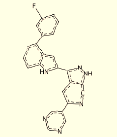 Fc1cccc(-c2cccc3[nH]c(-c4n[nH]c5cnc(-c6cncnc6)cc45)cc23)c1